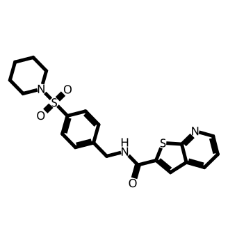 O=C(NCc1ccc(S(=O)(=O)N2CCCCC2)cc1)c1cc2cccnc2s1